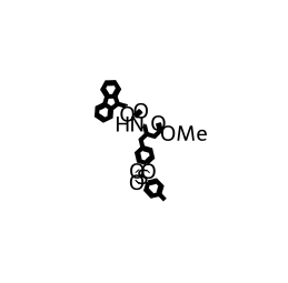 COC(=O)CC(CNC(=O)OCC1c2ccccc2-c2ccccc21)Cc1ccc(OS(=O)(=O)c2ccc(C)cc2)cc1